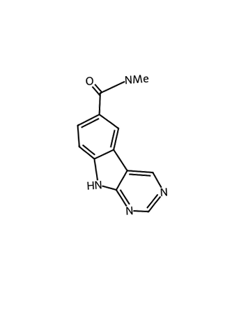 CNC(=O)c1ccc2[nH]c3ncncc3c2c1